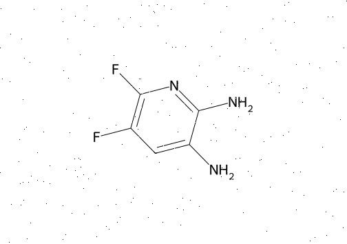 Nc1cc(F)c(F)nc1N